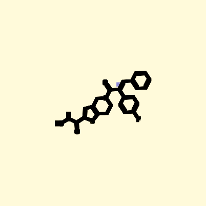 O=C(NO)c1cc2c(s1)CCN(C(=O)/C(=C/c1ccccc1)c1ccc(F)cc1)C2